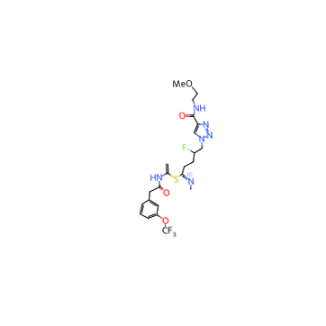 C=C(NC(=O)Cc1cccc(OC(F)(F)F)c1)S/C(CCC(F)Cn1cc(C(=O)NCCOC)nn1)=N\C